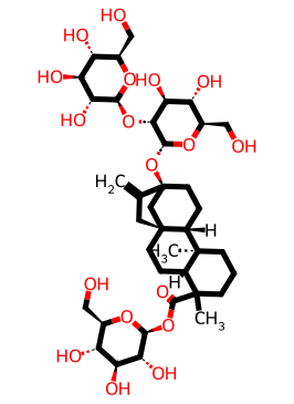 C=C1C[C@]23CC[C@H]4C(C)(C(=O)O[C@@H]5O[C@H](CO)[C@@H](O)[C@H](O)[C@H]5O)CCC[C@]4(C)[C@H]2CC[C@]1(O[C@H]1O[C@H](CO)[C@@H](O)[C@H](O)[C@H]1O[C@@H]1O[C@H](CO)[C@@H](O)[C@H](O)[C@H]1O)C3